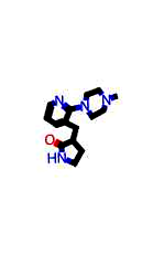 CN1CCN(c2ncccc2CC2CCNC2=O)CC1